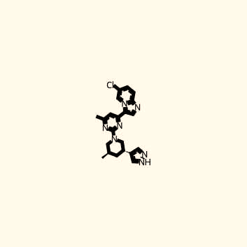 Cc1cc(-c2cnc3ccc(Cl)cn23)nc(N2C[C@H](C)C[C@@H](c3cn[nH]c3)C2)n1